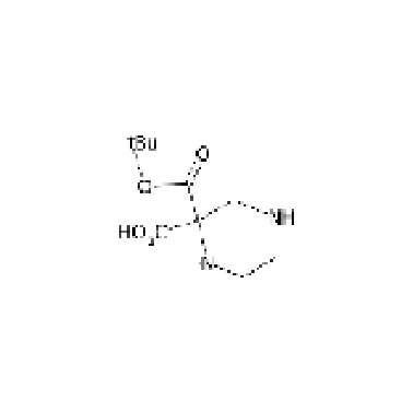 CC(C)(C)OC(=O)C1(C(=O)O)CNCC[N]1